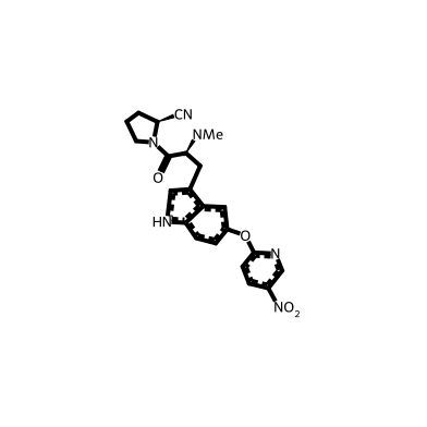 CN[C@@H](Cc1c[nH]c2ccc(Oc3ccc([N+](=O)[O-])cn3)cc12)C(=O)N1CCC[C@H]1C#N